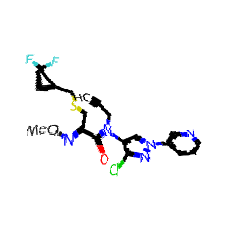 C#CCN(C(=O)/C(CSCC1CC1(F)F)=N/OC)c1cn(-c2cccnc2)nc1Cl